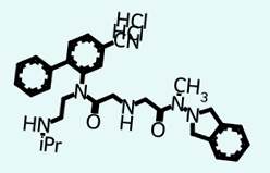 CC(C)NCCN(C(=O)CNCC(=O)N(C)N1Cc2ccccc2C1)c1cc(C#N)ccc1-c1ccccc1.Cl.Cl